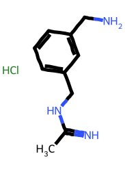 CC(=N)NCc1cccc(CN)c1.Cl